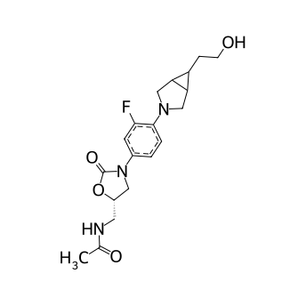 CC(=O)NC[C@H]1CN(c2ccc(N3CC4C(CCO)C4C3)c(F)c2)C(=O)O1